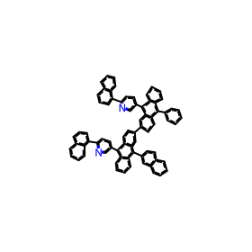 c1ccc(-c2c3ccccc3c(-c3ccc(-c4cccc5ccccc45)nc3)c3cc(-c4ccc5c(-c6ccc(-c7cccc8ccccc78)nc6)c6ccccc6c(-c6ccc7ccccc7c6)c5c4)ccc23)cc1